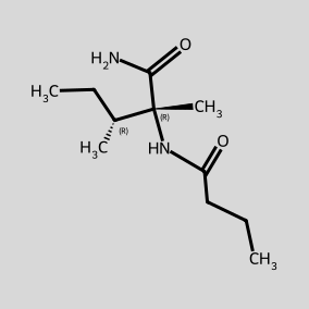 CCCC(=O)N[C@@](C)(C(N)=O)[C@H](C)CC